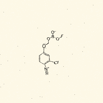 N#[N+]c1ccc(OCOB([O-])OF)cc1Cl